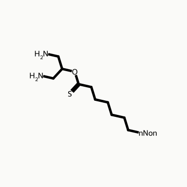 CCCCCCCCCCCCCCCC(=S)OC(CN)CN